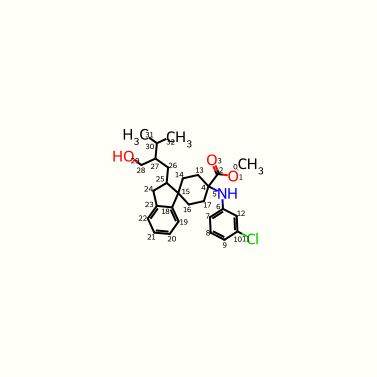 COC(=O)C1(Nc2cccc(Cl)c2)CCC2(CC1)c1ccccc1CC2CC(CO)C(C)C